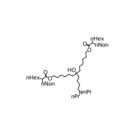 CCCCCCCCCC(CCCCCC)C(=O)OCCCCCCC(O)(CCCCCCOC(=O)C(CCCCCC)CCCCCCCCC)CCCCN(CCC)CCC